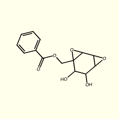 O=C(OCC12OC1C1OC1C(O)C2O)c1ccccc1